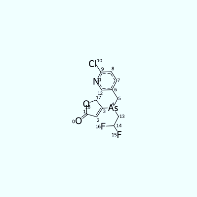 O=C1C=C([As](Cc2ccc(Cl)nc2)CC(F)F)CO1